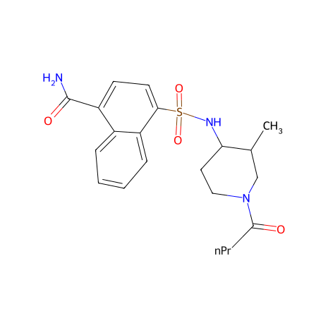 CCCC(=O)N1CCC(NS(=O)(=O)c2ccc(C(N)=O)c3ccccc23)C(C)C1